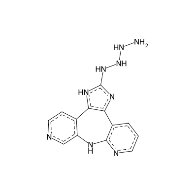 NNNNc1nc2c([nH]1)-c1ccncc1Nc1ncccc1-2